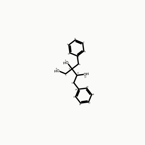 OCC(O)(Cc1ccccc1)C(O)Cc1ccccc1